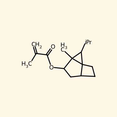 C=C(C)C(=O)OC1CC2CCC23C(C(C)C)C13C